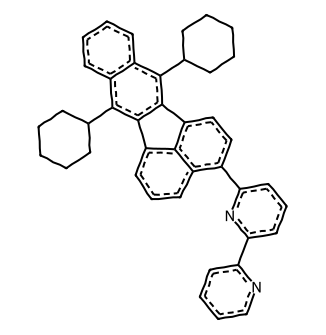 c1ccc(-c2cccc(-c3ccc4c5c(cccc35)-c3c-4c(C4CCCCC4)c4ccccc4c3C3CCCCC3)n2)nc1